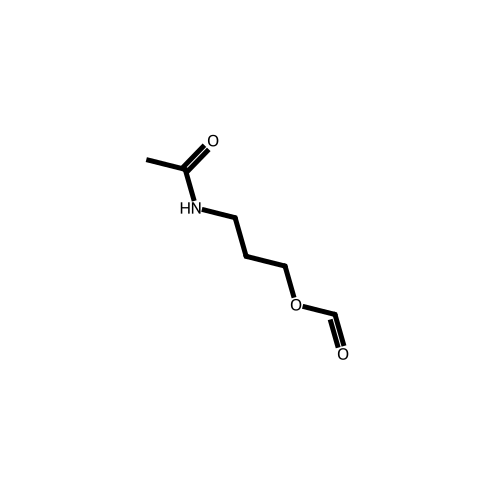 CC(=O)NCCCOC=O